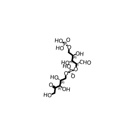 O=C[C@H](OP(=O)(O)OC[C@@H](O)[C@@H](O)C(=O)CO)[C@H](O)[C@H](O)COP(=O)(O)O